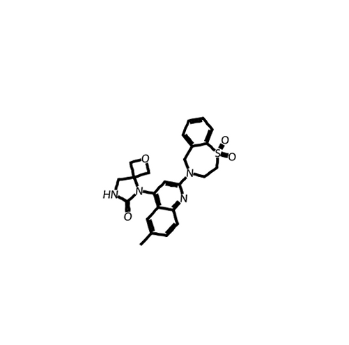 Cc1ccc2nc(N3CCS(=O)(=O)c4ccccc4C3)cc(N3C(=O)NCC34COC4)c2c1